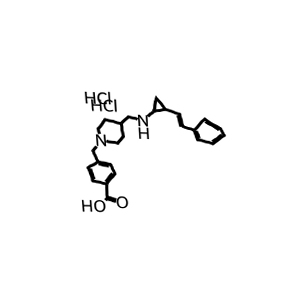 Cl.Cl.O=C(O)c1ccc(CN2CCC(CNC3CC3C=Cc3ccccc3)CC2)cc1